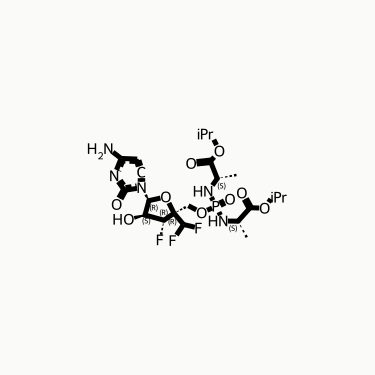 CC(C)OC(=O)[C@H](C)NP(=O)(N[C@@H](C)C(=O)OC(C)C)OC[C@@]1(C(F)F)O[C@@H](n2ccc(N)nc2=O)[C@H](O)[C@H]1F